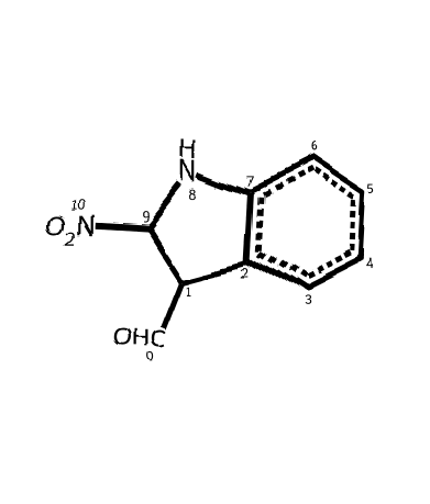 O=CC1c2ccccc2NC1[N+](=O)[O-]